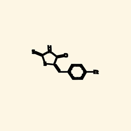 CCc1ccc(C=C2SC(=S)NC2=O)cc1